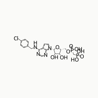 O=P(O)(O)CP(=O)(O)OC[C@H]1O[C@@H](n2ccc3c(NCc4ccc(Cl)cc4)ncnc32)C(O)C1O